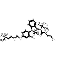 CCCOC(=O)N(N1c2ccccc2N(c2ccc(OCOCC[Si](C)(C)C)cc2F)S1(=O)=O)C(C)(C)C